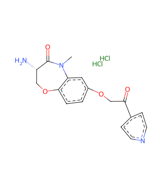 CN1C(=O)[C@@H](N)COc2ccc(OCC(=O)c3ccncc3)cc21.Cl.Cl